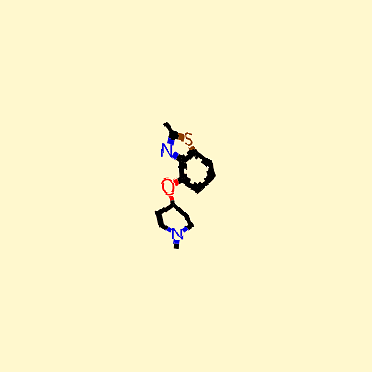 Cc1nc2c(OC3CCN(C)CC3)cccc2s1